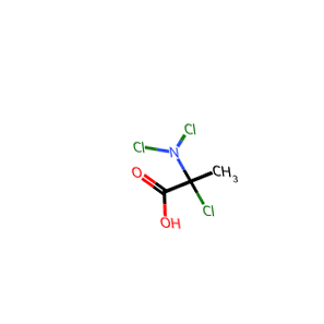 CC(Cl)(C(=O)O)N(Cl)Cl